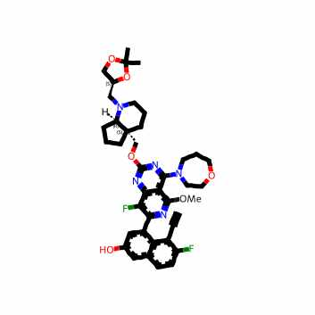 C#Cc1c(F)ccc2cc(O)cc(-c3nc(OC)c4c(N5CCCOCC5)nc(OC[C@]56CCC[C@H]5N(C[C@H]5COC(C)(C)O5)CCC6)nc4c3F)c12